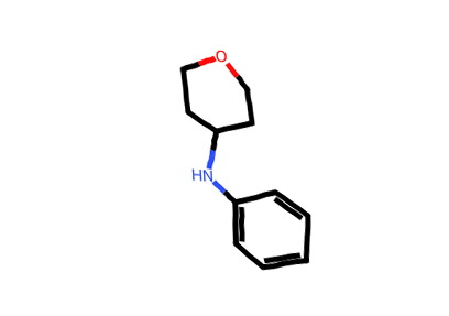 c1ccc(NC2CCOCC2)cc1